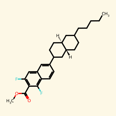 CCCCCC1CC[C@@H]2CC(c3ccc4c(F)c(C(=O)OC)c(F)cc4c3)CC[C@H]2C1